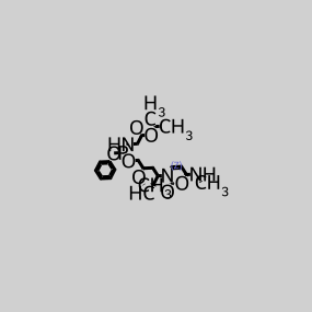 C#CC(CC(COP(NCC(=O)OC(C)C)Oc1ccccc1)OC)N(C=O)/C=C\C(=O)NC